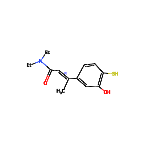 CCN(CC)C(=O)/C=C(\C)c1ccc(S)c(O)c1